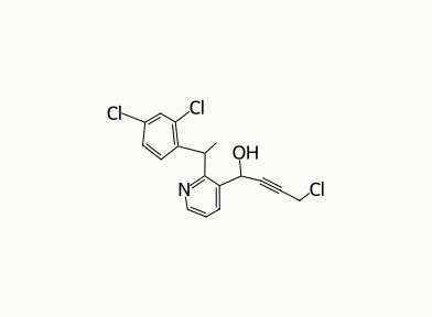 CC(c1ccc(Cl)cc1Cl)c1ncccc1C(O)C#CCCl